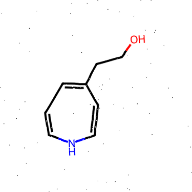 OCCC1=CC=CNC=C1